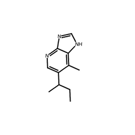 CCC(C)c1cnc2nc[nH]c2c1C